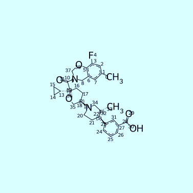 Cc1cc(F)c2c(c1)CN(C(=O)[C@@]1(C3CC3)CC[C@@H](N3CC[C@H](c4cccc(C(=O)O)c4)[C@@H](C)C3)CO1)CO2